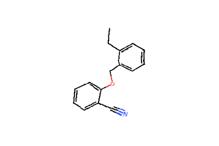 CCc1ccccc1COc1ccccc1C#N